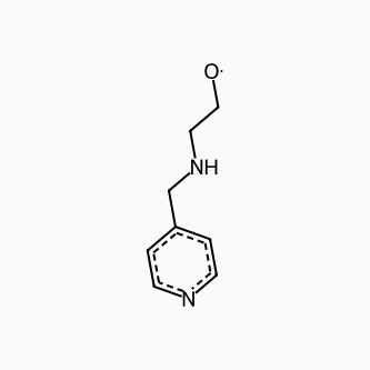 [O]CCNCc1ccncc1